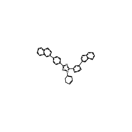 C1=CCCC(n2nc(-c3ccc(-c4ccc5ccccc5c4)cc3)nc2-c2cccc(-c3ccc4ccccc4c3)c2)=C1